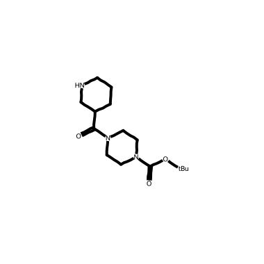 CC(C)(C)OC(=O)N1CCN(C(=O)C2CCCNC2)CC1